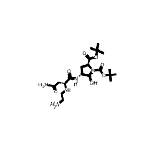 CC(C)(C)OC(=O)[C@@H]1C[C@@H](NC(=O)[C@H](CC(N)=O)NCCN)C(O)N1C(=O)OC(C)(C)C